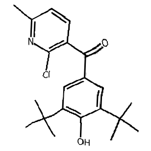 Cc1ccc(C(=O)c2cc(C(C)(C)C)c(O)c(C(C)(C)C)c2)c(Cl)n1